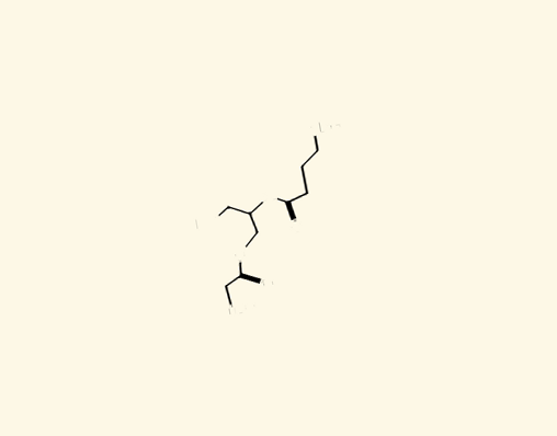 CCCCCCCCCCCCCC(=O)OC(CO)COC(=O)CCCCCCCCCCC